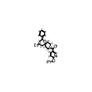 CCN1CC(c2ccccc2)OC2(CCN(C(=O)c3ccc(OC(C)C)nc3)CC2)C1